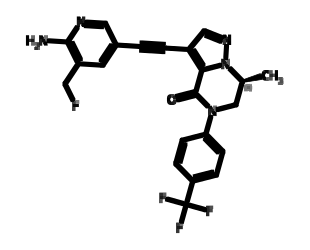 C[C@H]1CN(c2ccc(C(F)(F)F)cc2)C(=O)c2c(C#Cc3cnc(N)c(CF)c3)cnn21